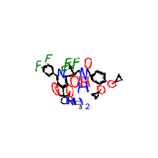 C[C@]1(C(N)=O)COc2c1cc([C@@](O)(CNC(=O)c1ccc(OC3CC3)c(OC3CC3)c1)C(F)(F)F)nc2-c1ccc(F)c(F)c1